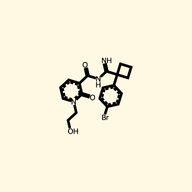 N=C(NC(=O)c1cccn(CCO)c1=O)C1(c2ccc(Br)cc2)CCC1